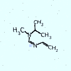 C=C/N=C\N(C)C(C)C